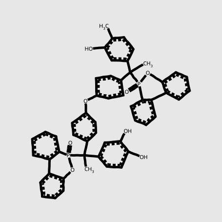 Cc1ccc(C(C)(c2ccc(Oc3ccc(C(C)(c4ccc(O)c(O)c4)P4(=O)Oc5ccccc5-c5ccccc54)cc3)cc2)P2(=O)Oc3ccccc3-c3ccccc32)cc1O